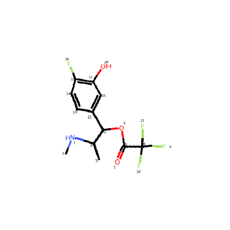 CNC(C)C(OC(=O)C(F)(F)F)c1ccc(F)c(O)c1